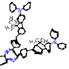 CC1(C)c2cc(-c3ccc(-c4nc5ccccc5nc4-c4ccc(-c5ccc6c(c5)C(C)(C)c5cc(N(c7ccccc7)c7ccccc7)ccc5-6)cc4)cc3)ccc2-c2ccc(N(c3ccccc3)c3ccccc3)cc21